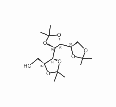 CC1(C)O[C@H]([C@H]2OC(C)(C)O[C@H]2CO)[C@@H]([C@H]2COC(C)(C)O2)O1